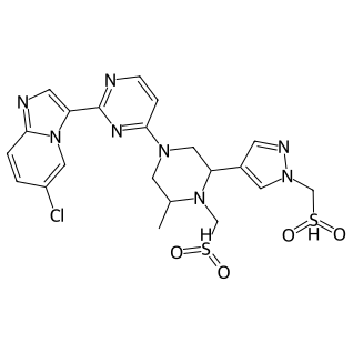 CC1CN(c2ccnc(-c3cnc4ccc(Cl)cn34)n2)CC(c2cnn(C[SH](=O)=O)c2)N1C[SH](=O)=O